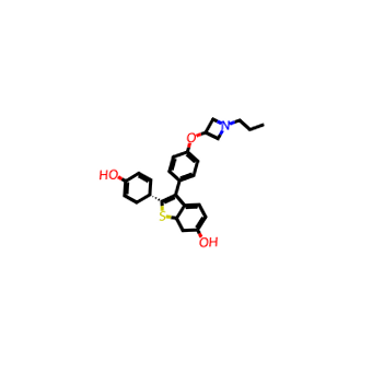 CCCN1CC(Oc2ccc(C3=C([C@H]4C=CC(O)=CC4)SC4CC(O)=CC=C34)cc2)C1